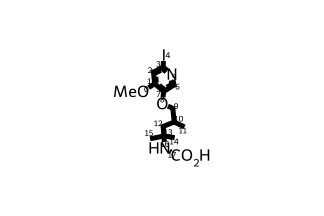 COc1cc(I)ncc1OCC(C)CC(C)(C)NC(=O)O